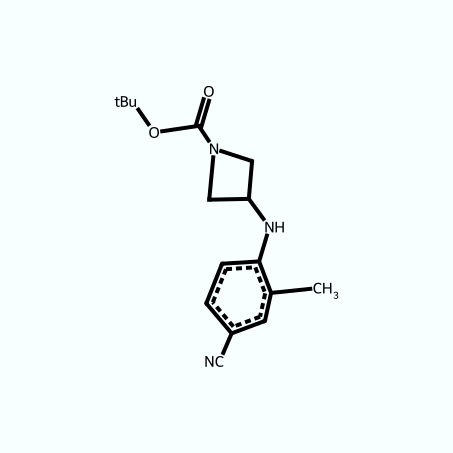 Cc1cc(C#N)ccc1NC1CN(C(=O)OC(C)(C)C)C1